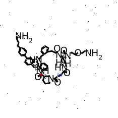 NCCCc1ccc(-c2ccc(C[C@@H]3NC(=O)[C@]4(Cc5ccccc5)CCCN(C4)C(=O)/C=C/C(=O)NCC[C@@H](C(=O)NCCOCCN)NC(=O)Cc4ccccc4CNC3=O)cc2)cc1